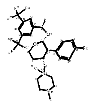 C[C@@H](O[C@H]1OCC[C@@H](C[N+]2([O-])CCN(C)CC2)[C@@H]1c1ccc(F)cc1)c1cc(C(F)(F)F)cc(C(F)(F)F)c1